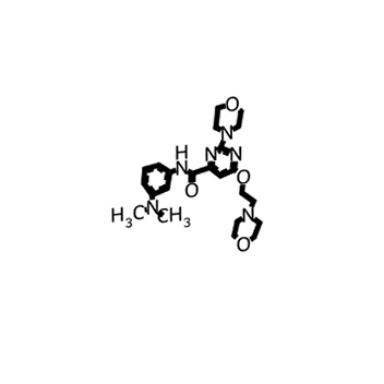 CN(C)c1cccc(NC(=O)c2cc(OCCN3CCOCC3)nc(N3CCOCC3)n2)c1